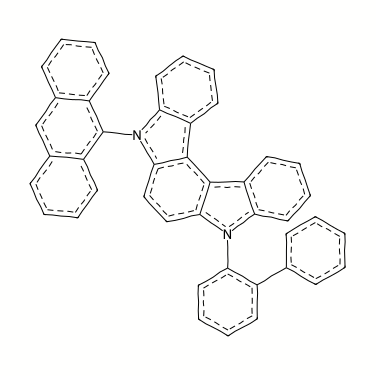 c1ccc(-c2ccccc2-n2c3ccccc3c3c4c5ccccc5n(-c5c6ccccc6cc6ccccc56)c4ccc32)cc1